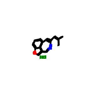 CC(C)=CC1=Cc2cccc3occ(c23)C=N1.Cl